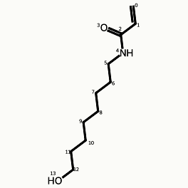 C=CC(=O)NCCCCCCCCO